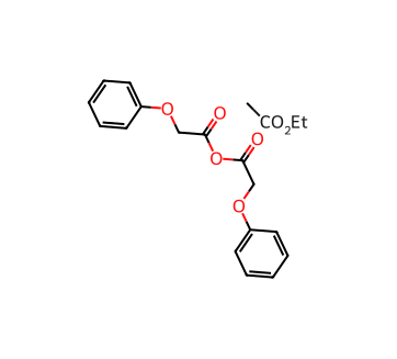 CCOC(C)=O.O=C(COc1ccccc1)OC(=O)COc1ccccc1